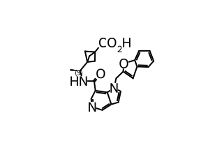 C[C@H](NC(=O)c1cncc2ccn(Cc3cc4ccccc4o3)c12)C12CC(C(=O)O)(C1)C2